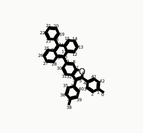 Cc1ccc(-c2oc3cc(-c4c5ccccc5c(-c5ccccc5)c5ccccc45)ccc3c2-c2ccc(C)cc2)cc1